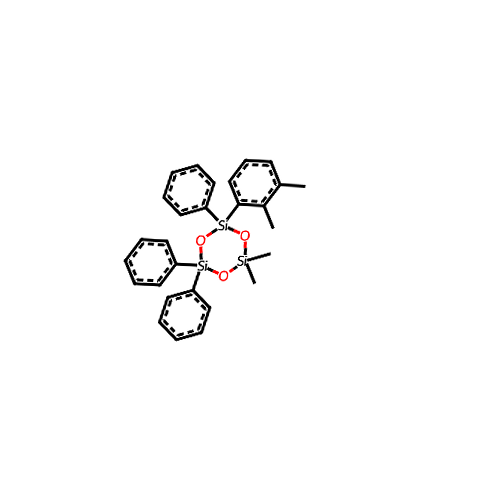 Cc1cccc([Si]2(c3ccccc3)O[Si](C)(C)O[Si](c3ccccc3)(c3ccccc3)O2)c1C